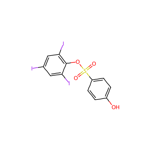 O=S(=O)(Oc1c(I)cc(I)cc1I)c1ccc(O)cc1